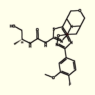 COc1cc(-c2noc(N3C4COCC3c3sc(NC(=O)N[C@H](C)CO)nc3C4)n2)ccc1F